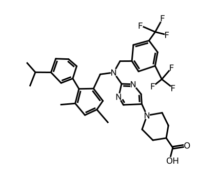 Cc1cc(C)c(-c2cccc(C(C)C)c2)c(CN(Cc2cc(C(F)(F)F)cc(C(F)(F)F)c2)c2ncc(N3CCC(C(=O)O)CC3)cn2)c1